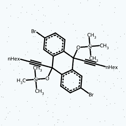 CCCCCCC#CC1(O[Si](C)(C)C)c2ccc(Br)cc2C(C#CCCCCCC)(O[Si](C)(C)C)c2ccc(Br)cc21